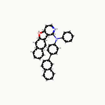 c1ccc(N(c2ccc(-c3ccc4ccccc4c3)cc2)c2nccc3oc4cc5ccccc5cc4c23)cc1